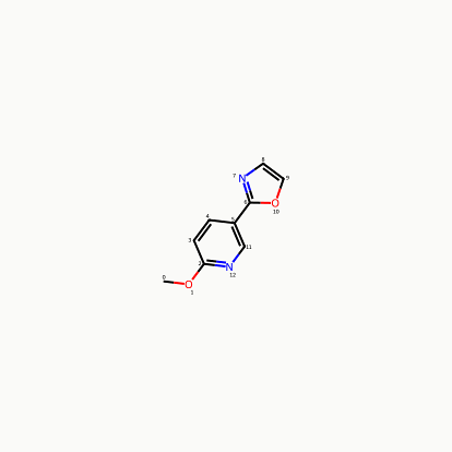 COc1ccc(-c2ncco2)cn1